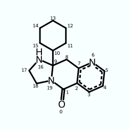 O=C1c2cccnc2CC2(C3CCCCC3)NCCN12